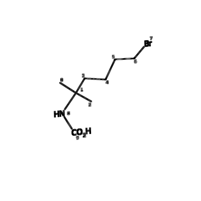 CC(C)(CCCCBr)NC(=O)O